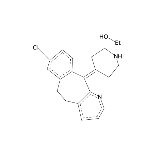 CCO.Clc1ccc2c(c1)CCc1cccnc1C2=C1CCNCC1